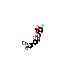 CCn1cc(-c2ccc([C@H](C)N3CCC(CC(C)(C)O)(c4ccc(F)cc4)OC3=O)cc2)ccc1=O